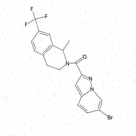 CC1c2cc(C(F)(F)F)ccc2CCN1C(=O)c1cc2ccc(Br)cn2n1